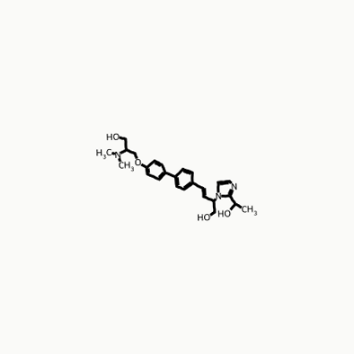 CC(O)c1nccn1C(/C=C/c1ccc(-c2ccc(OCC(CO)N(C)C)cc2)cc1)CO